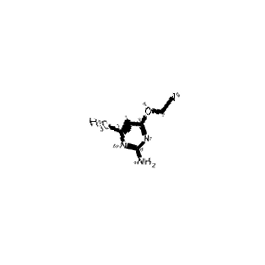 Cc1cc(OCI)nc(N)n1